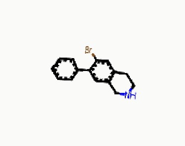 Brc1cc2c(cc1-c1ccccc1)CNCC2